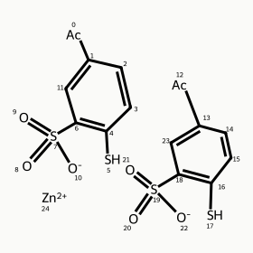 CC(=O)c1ccc(S)c(S(=O)(=O)[O-])c1.CC(=O)c1ccc(S)c(S(=O)(=O)[O-])c1.[Zn+2]